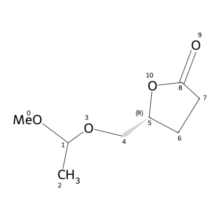 COC(C)OC[C@H]1CCC(=O)O1